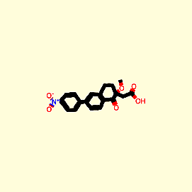 COC1(CC(=O)O)CCc2cc(-c3ccc([N+](=O)[O-])cc3)ccc2C1=O